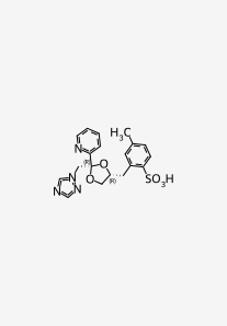 Cc1ccc(S(=O)(=O)O)c(C[C@@H]2CO[C@@](Cn3cncn3)(c3ccccn3)O2)c1